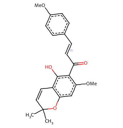 COc1ccc(/C=C/C(=O)c2c(OC)cc3c(c2O)C=CC(C)(C)O3)cc1